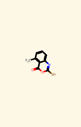 O=c1oc(S)nc2cccc(C(F)(F)F)c12